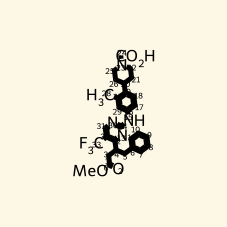 COC(=O)CC(Cc1ccccc1)c1nc(Nc2ccc(C3CCN(C(=O)O)CC3)c(C)c2)ncc1C(F)(F)F